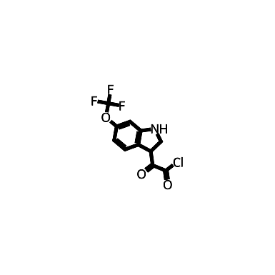 O=C(Cl)C(=O)C1CNc2cc(OC(F)(F)F)ccc21